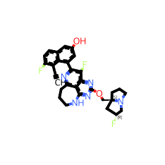 C#Cc1c(F)ccc2cc(O)cc(-c3nc4c5c(nc(OC[C@@]67CCCN6C[C@H](F)C7)nc5c3F)NCCC4)c12